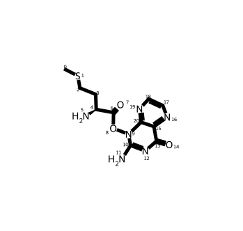 CSCC[C@H](N)C(=O)On1c(N)nc(=O)c2nccnc21